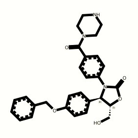 O=C(c1ccc(N2C(=O)O[C@H](CO)[C@H]2c2ccc(OCc3ccccc3)cc2)cc1)N1CCNCC1